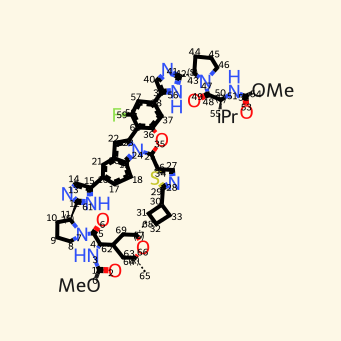 COC(=O)NC(C(=O)N1CCC[C@H]1c1ncc(-c2ccc3c(c2)cc2n3C(c3cnc(C4CCC4)s3)Oc3cc(-c4cnc([C@@H]5CCCN5C(=O)[C@@H](NC(=O)OC)C(C)C)[nH]4)cc(F)c3-2)[nH]1)C1C[C@@H](C)O[C@@H](C)C1